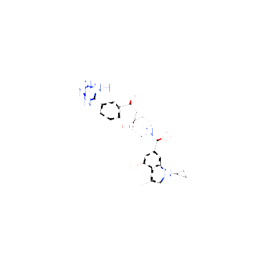 COc1cc(C(=O)N2CCC3(CC2)CC(=O)c2cc(-c4nnn[nH]4)ccc2O3)cc2c1c(C)cn2C1CC1